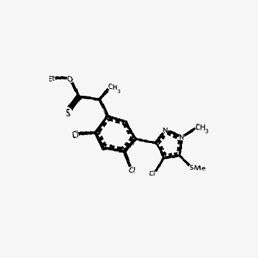 CCOC(=S)C(C)c1cc(-c2nn(C)c(SC)c2Cl)c(Cl)cc1Cl